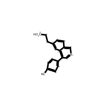 N#Cc1ccc(-c2cncc3ccc(CCC(=O)O)cc23)cc1